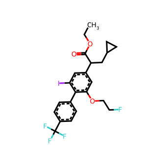 CCOC(=O)C(CC1CC1)c1cc(I)c(-c2ccc(C(F)(F)F)cc2)c(OCCF)c1